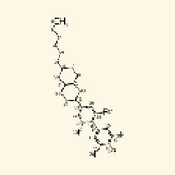 CCCCCCC1CCC2CC(c3cc(F)c(-c4cc(F)c(F)c(F)c4)c(F)c3)CCC2C1